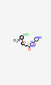 Cl.O=C1NC(=NC(=O)C2CCNCC2)SC1=Cc1ccc(-c2ccccc2[N+](=O)[O-])o1